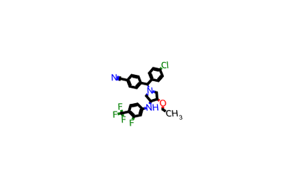 CCOC1CN([C@H](c2ccc(Cl)cc2)c2ccc(C#N)cc2)CC1Nc1ccc(C(F)(F)F)c(F)c1